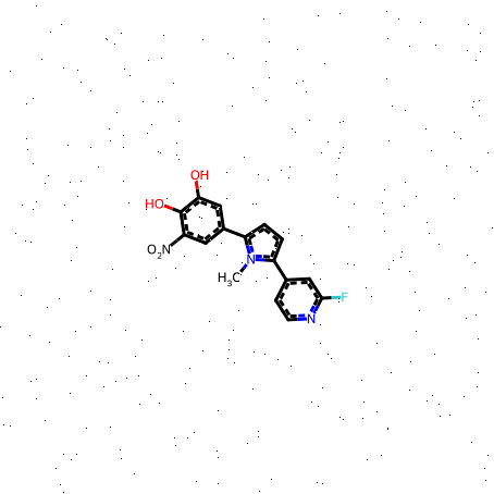 Cn1c(-c2ccnc(F)c2)ccc1-c1cc(O)c(O)c([N+](=O)[O-])c1